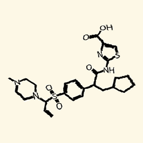 C=CC(N1CCN(C)CC1)S(=O)(=O)c1ccc(C(CC2CCCC2)C(=O)Nc2nc(C(=O)O)cs2)cc1